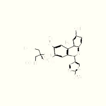 CCOc1cc2c(cc1OC)C(c1cnc(OC)nc1)N=C1C=CC(O)=C[C@@H]12.O=C(O)CC(O)(CC(=O)O)C(=O)O